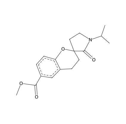 COC(=O)c1ccc2c(c1)CCC1(CCN(C(C)C)C1=O)O2